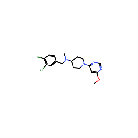 COc1cc(N2CCC(N(C)Cc3ccc(Cl)c(Cl)c3)CC2)ncn1